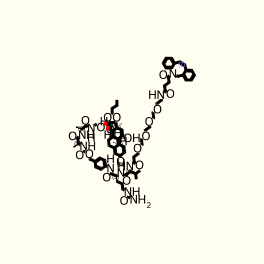 CCCC1O[C@@H]2C[C@H]3[C@@H]4CCC5=CC(=O)C=C[C@]5(C)[C@H]4[C@@H](O)C[C@]3(C)[C@]2(C(=O)COCNC(=O)[C@H](C)NC(=O)[C@H](C)NC(=O)OCc2ccc(NC(=O)[C@H](CCCNC(N)=O)NC(=O)[C@@H](NC(=O)CCOCCOCCOCCOCCNC(=O)CCC(=O)N3Cc4ccccc4/C=C\c4ccccc43)C(C)C)cc2)O1